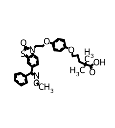 CO/N=C(\c1ccccc1)c1ccc2c(c1)sc(=O)n2CCOc1ccc(OCCCC(C)(C)C(=O)O)cc1